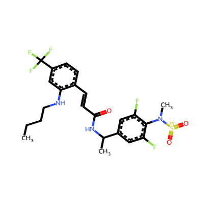 CCCCNc1cc(C(F)(F)F)ccc1C=CC(=O)NC(C)c1cc(F)c(N(C)[SH](=O)=O)c(F)c1